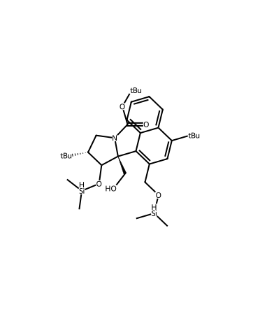 C[SiH](C)OCc1cc(C(C)(C)C)c2ccccc2c1[C@]1(CO)C(O[SiH](C)C)[C@H](C(C)(C)C)CN1C(=O)OC(C)(C)C